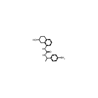 Bc1ccc(C(C)NC(=O)Nc2cccc3c2CC(O)CC3)cc1